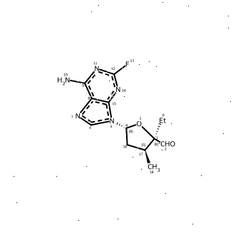 CC[C@@]1(C=O)O[C@@H](n2cnc3c(N)nc(F)nc32)C[C@@H]1C